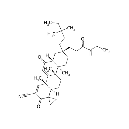 CCNC(=O)CC[C@@]1(CCC(C)(C)CC)CC[C@]2(C)[C@@H](C1)C(=O)C=C1[C@@]3(C)C=C(C#N)C(=O)C4(CC4)[C@@H]3CC[C@]12C